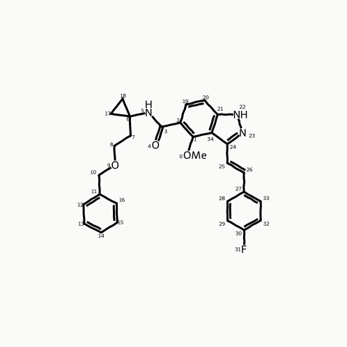 COc1c(C(=O)NC2(CCOCc3ccccc3)CC2)ccc2[nH]nc(/C=C/c3ccc(F)cc3)c12